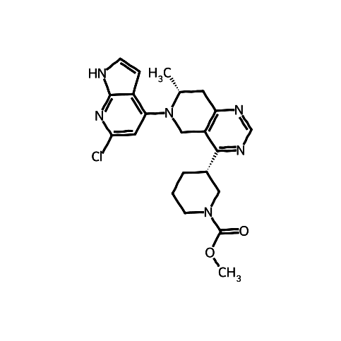 COC(=O)N1CCC[C@H](c2ncnc3c2CN(c2cc(Cl)nc4[nH]ccc24)[C@H](C)C3)C1